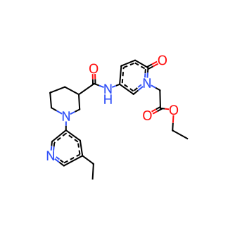 CCOC(=O)Cn1cc(NC(=O)C2CCCN(c3cncc(CC)c3)C2)ccc1=O